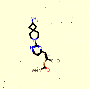 CNC(=O)S/C(C=O)=C\c1ccnc(N2CCC3(CC2)CC(N)C3)n1